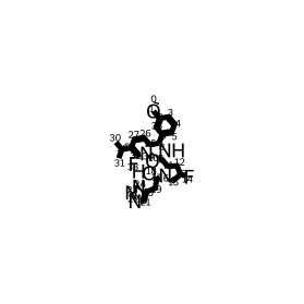 COc1cccc(C(NC(=O)C2CC(F)CN2C(=O)Cc2cnn[nH]2)c2ccc(C(C)C)c(F)n2)c1